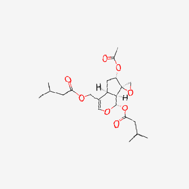 CC(=O)O[C@H]1C[C@@H]2C(COC(=O)CC(C)C)=CO[C@@H](OC(=O)CC(C)C)[C@@H]2[C@@]12CO2